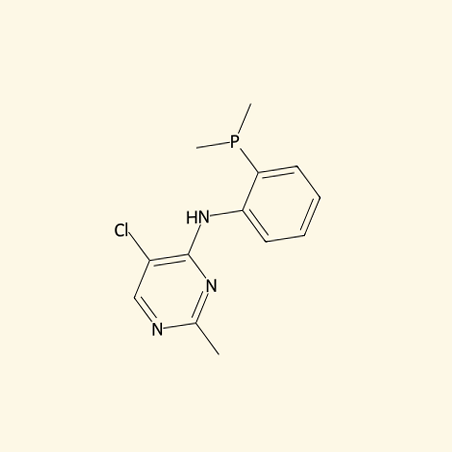 Cc1ncc(Cl)c(Nc2ccccc2P(C)C)n1